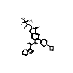 CC(C)(O)C(F)CN1Cc2cc(NC(=O)c3cnn4cccnc34)c(C3=CCN(C4COC4)CC3)cc2C1=O